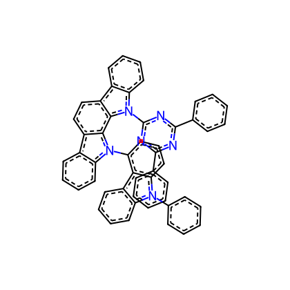 c1ccc(-c2nc(-c3ccccc3)nc(-n3c4ccccc4c4ccc5c6ccccc6n(-c6cccc7c6c6ccccc6n7-c6ccccc6)c5c43)n2)cc1